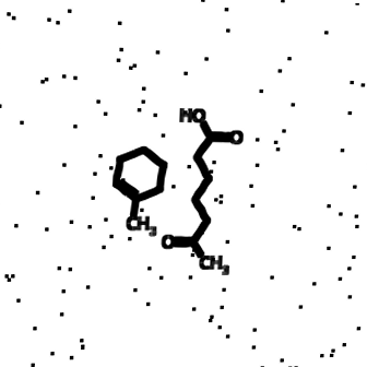 CC(=O)CCCCC(=O)O.CC1=CCCCC1